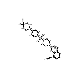 CN(Cc1c(F)cccc1C#N)C1CCN(S(=O)(=O)c2ccc(N3CCC(F)(F)CC3)nc2)CC1